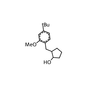 COc1cc(C(C)(C)C)ccc1CC1CCCC1O